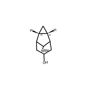 CNC1C2CC(O)CC1[C@@H]1C[C@H]21